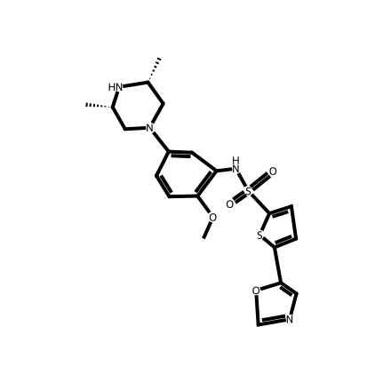 COc1ccc(N2C[C@@H](C)N[C@@H](C)C2)cc1NS(=O)(=O)c1ccc(-c2cnco2)s1